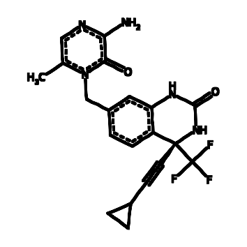 Cc1cnc(N)c(=O)n1Cc1ccc2c(c1)NC(=O)N[C@]2(C#CC1CC1)C(F)(F)F